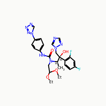 CCOC(CN(C(=O)Nc1ccc(-n2cnnn2)cc1)[C@H](C)[C@](O)(Cn1cncn1)c1ccc(F)cc1F)OCC